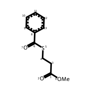 COC(=O)CCSC(=O)c1ccccc1